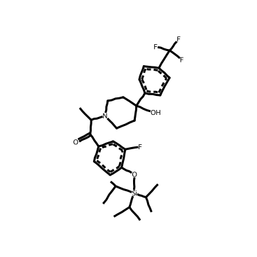 CC(C(=O)c1ccc(O[Si](C(C)C)(C(C)C)C(C)C)c(F)c1)N1CCC(O)(c2ccc(C(F)(F)F)cc2)CC1